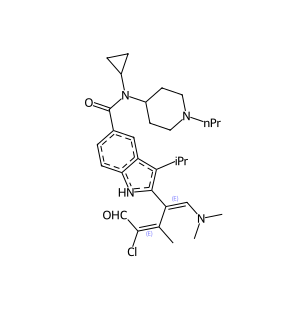 CCCN1CCC(N(C(=O)c2ccc3[nH]c(C(=C/N(C)C)/C(C)=C(/Cl)C=O)c(C(C)C)c3c2)C2CC2)CC1